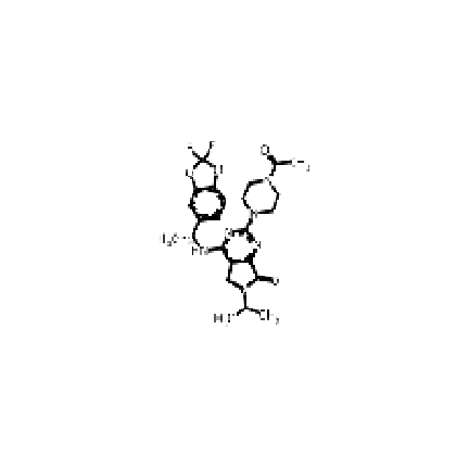 CC(=O)N1CCN(c2nc(N[C@H](C)c3ccc4c(c3)OC(F)(F)O4)c3c(n2)C(=O)N(C(C)C)C3)CC1